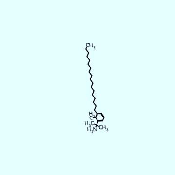 CCCCCCCCCCCCCCCCCCc1cccc(C(C)(C)N)c1C